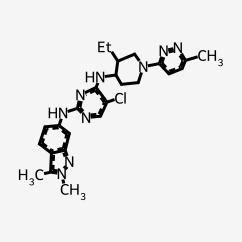 CCC1CN(c2ccc(C)nn2)CCC1Nc1nc(Nc2ccc3c(C)n(C)nc3c2)ncc1Cl